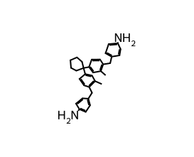 Cc1cc(C2(c3ccc(Cc4ccc(N)cc4)c(C)c3)CCCCC2)ccc1Cc1ccc(N)cc1